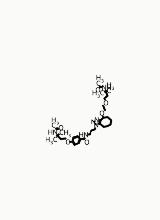 CC(=O)NC(C)(C)CCOCCOC1CCCCCc2c1nnn2CCCNC(=O)c1ccc(OCCC(C)(C)NC(C)=O)cc1